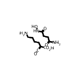 NC(=O)CCC(=O)NO.NCCCCC(=C=O)C(=O)O